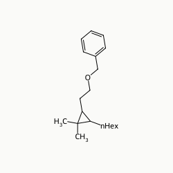 CCCCCCC1C(CCOCc2ccccc2)C1(C)C